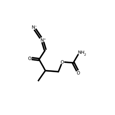 CC(COC(N)=O)C(=O)C=[N+]=[N-]